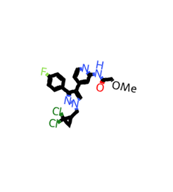 COCC(=O)Nc1cc(-c2cn(CC3CC3(Cl)Cl)nc2-c2ccc(F)cc2)ccn1